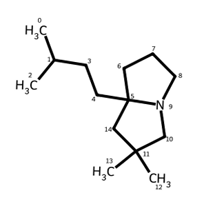 CC(C)CCC12CCCN1CC(C)(C)C2